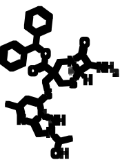 CC1=NC2=CN(C(C)O)NN2C(SCC2(C(=O)OC(c3ccccc3)c3ccccc3)CS[C@@H]3C(N)C(=O)N3C2)=C1